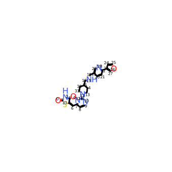 O=C1NC(=O)/C(=C\c2ccnc(N3CCC(CNCc4ccc(-c5ccoc5)nc4)CC3)n2)S1